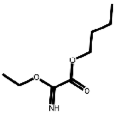 CCCCOC(=O)C(=N)OCC